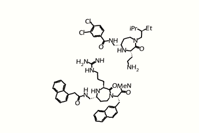 CC[C@@H](CN1CC[C@@H](CNC(=O)c2ccc(Cl)c(Cl)c2)N[C@@H](CCN)C1=O)C(C)C.CNC(=O)[C@H](Cc1ccc2ccccc2c1)N1CC[C@H](CNC(=O)Cc2cccc3ccccc23)N[C@@H](CCCNC(=N)N)C1=O